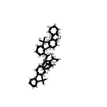 CC1(C)c2ccccc2-c2ccc(C3=C/CC/C(c4ccccc4)=N/C(c4cccc5c4-c4ccc6oc7ccccc7c6c4C5(C)C)=N\3)cc21